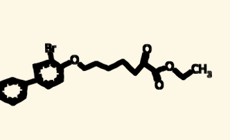 CCOC(=O)C(=O)CCCCCOc1ccc(-c2ccccc2)cc1Br